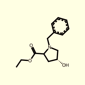 CCOC(=O)C1C[C@@H](O)CN1Cc1ccccc1